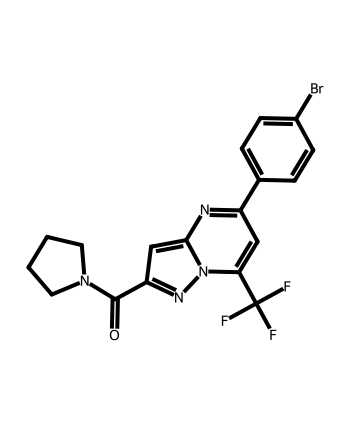 O=C(c1cc2nc(-c3ccc(Br)cc3)cc(C(F)(F)F)n2n1)N1CCCC1